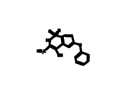 O=C(O)C1=C(O)c2cc(Oc3ccccc3)ccc2S(=O)(=O)N1